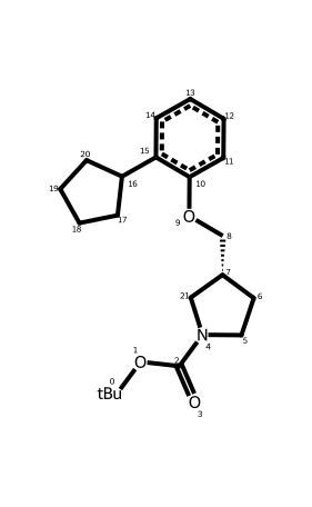 CC(C)(C)OC(=O)N1CC[C@@H](COc2ccccc2C2CCCC2)C1